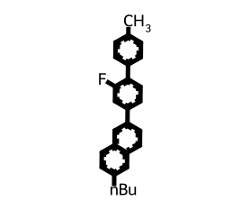 CCCCc1ccc2cc(-c3ccc(-c4ccc(C)cc4)c(F)c3)ccc2c1